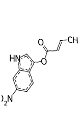 CC=CC(=O)Oc1c[nH]c2cc([N+](=O)[O-])ccc12